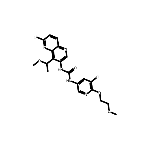 COCCOc1ncc(NC(=O)Nc2cnc3ccc(Cl)nc3c2C(C)OC)cc1Cl